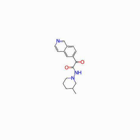 CC1CCCN(NC(=O)C(=O)c2ccc3cnccc3c2)C1